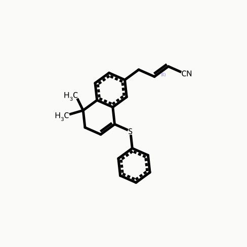 CC1(C)CC=C(Sc2ccccc2)c2cc(C/C=C/C#N)ccc21